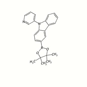 CC1(C)OB(c2ccc3c(c2)c2ccccc2n3-c2cccnc2)OC1(C)C